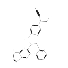 CC#CC(CC(=O)O)c1ccc(OC(Cc2ccccc2)c2ccc3cc[nH]c3n2)cc1